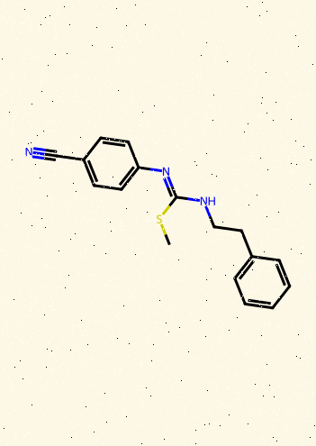 CSC(=Nc1ccc(C#N)cc1)NCCc1ccccc1